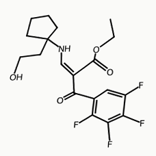 CCOC(=O)C(=CNC1(CCO)CCCC1)C(=O)c1cc(F)c(F)c(F)c1F